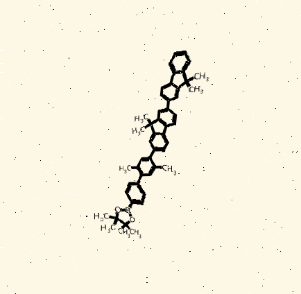 Cc1cc(-c2ccc3c(c2)C(C)(C)c2cc(-c4ccc5c(c4)C(C)(C)c4ccccc4-5)ccc2-3)c(C)cc1-c1ccc(B2OC(C)(C)C(C)(C)O2)cc1